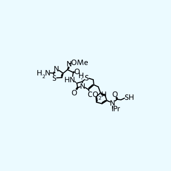 CO/N=C(\C(=O)N[C@@H]1C(=O)N2C(C(=O)O)=C(Cc3cccc(N(C(=O)CS)C(C)C)c3)CS[C@H]12)c1csc(N)n1